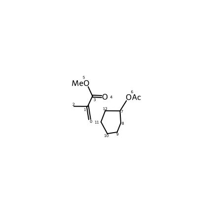 C=C(C)C(=O)OC.CC(=O)OC1CCCCC1